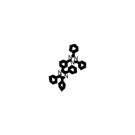 c1ccc(-c2nc(-c3ccccc3)nc(-c3cccc(-c4nc(-c5ccccc5)c(-c5ccccc5)nc4-c4ccccc4)c3)n2)cc1